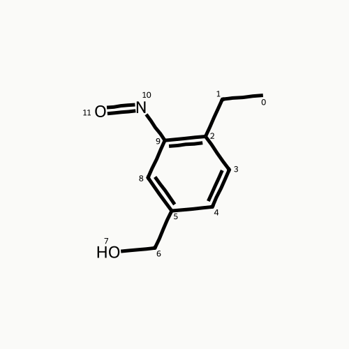 CCc1ccc(CO)cc1N=O